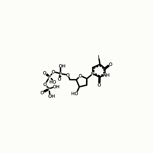 O=c1[nH]c(=O)n(C2CC(O)C(COP(=O)(O)OP(=O)(O)OP(=O)(O)O)O2)cc1I